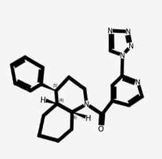 O=C(c1ccnc(-n2cnnn2)c1)N1CC[C@H](c2ccccc2)[C@H]2CCCC[C@H]21